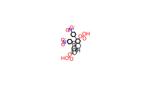 C[C@]12CC[C@@H]3c4c(cc(OC(=O)O)c(-c5ccc([N+](=O)[O-])cc5)c4-c4ccc([N+](=O)[O-])cc4)CC[C@H]3[C@@H]1CC[C@@H]2OC(=O)O